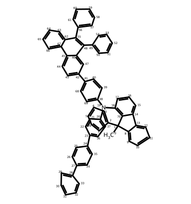 CC1(c2ccccc2)c2ccccc2-c2cccc(N(c3ccc(-c4ccc(-c5ccccc5)cc4)cc3)c3ccc(-c4ccc5c(c4)c(-c4ccccc4)c(-c4ccccc4)c4ccccc45)cc3)c21